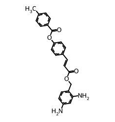 Cc1ccc(C(=O)Oc2ccc(/C=C/C(=O)OCc3ccc(N)cc3N)cc2)cc1